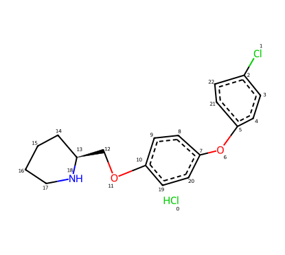 Cl.Clc1ccc(Oc2ccc(OC[C@@H]3CCCCN3)cc2)cc1